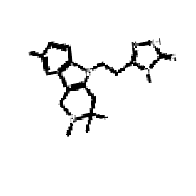 CN1Cc2c(n(CCc3n[nH]c(=S)n3C)c3ccc(I)cc23)CC1(C)C